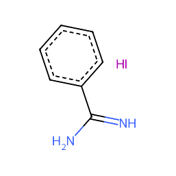 I.N=C(N)c1ccccc1